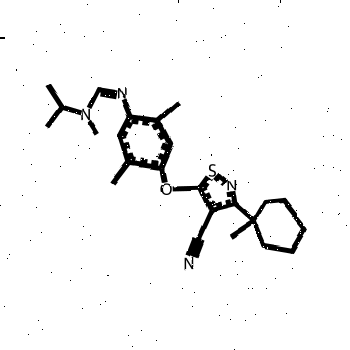 Cc1cc(Oc2snc(C3(C)CCCCC3)c2C#N)c(C)cc1/N=C\N(C)C(C)C